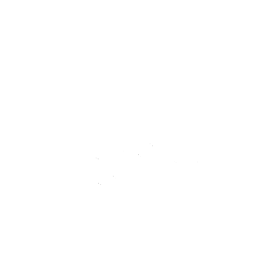 C[C@H]1C=C(c2ccc(O)cc2)C2=C(C1=O)N(NC(=O)c1n[nH]c(Cc3ccccc3)n1)CO2